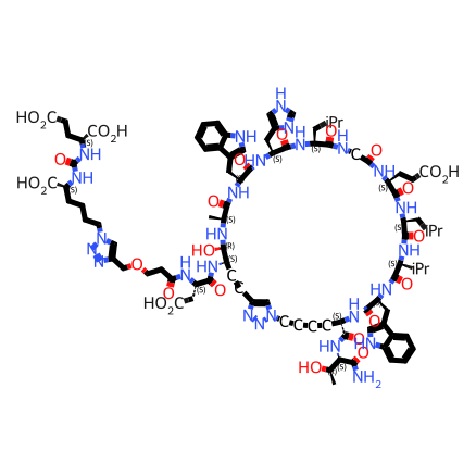 CC(C)C[C@@H]1NC(=O)[C@H](Cc2c[nH]cn2)NC(=O)[C@H](Cc2c[nH]c3ccccc23)NC(=O)[C@H](C)N[C@H](O)[C@@H](NC(=O)[C@H](CC(=O)O)NC(=O)CCOCc2cn(CCCC[C@H](NC(=O)N[C@@H](CCC(=O)O)C(=O)O)C(=O)O)nn2)CCc2cn(nn2)CCCC[C@@H](C(=O)N[C@H](C(N)=O)[C@@H](C)O)NC(=O)[C@H](Cc2c[nH]c3ccccc23)NC(=O)[C@H](C(C)C)NC(=O)[C@H](CC(C)C)NC(=O)[C@H](CCC(=O)O)NC(=O)CNC1=O